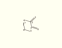 C=CC(=C)C.CCI